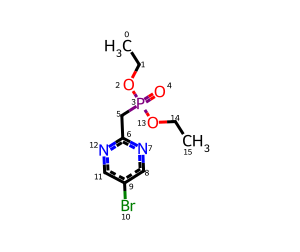 CCOP(=O)(Cc1ncc(Br)cn1)OCC